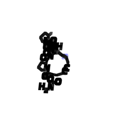 CC1CCCN1S(=O)(=O)NC(=O)C12CC1/C=C\CCCCCC(OC(N)=O)C(=O)N1CCCC1C(=O)N2